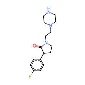 O=C1C(c2ccc(F)cc2)CCN1CCN1CCNCC1